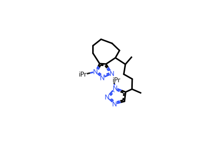 CC(CCC(C)C1CCCCCc2c1nnn2C(C)C)c1cnnn1C(C)C